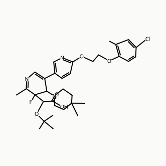 CC1=NC=C(c2ccc(OCCOc3ccc(Cl)cc3C)nc2)C(N2CCC(C)(C)CC2)C1(F)C(OC(C)(C)C)C(=O)O